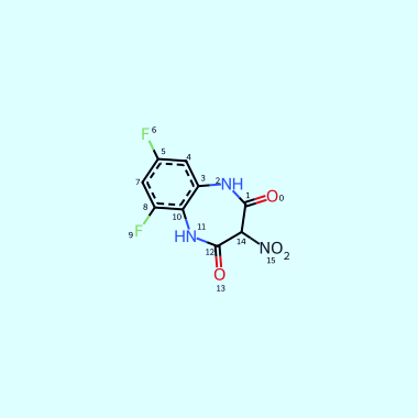 O=C1Nc2cc(F)cc(F)c2NC(=O)C1[N+](=O)[O-]